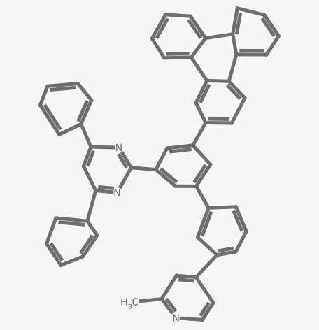 Cc1cc(-c2cccc(-c3cc(-c4ccc5c6ccccc6c6ccccc6c5c4)cc(-c4nc(-c5ccccc5)cc(-c5ccccc5)n4)c3)c2)ccn1